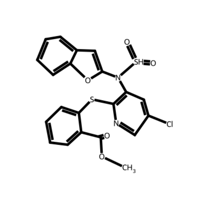 COC(=O)c1ccccc1Sc1ncc(Cl)cc1N(c1cc2ccccc2o1)[SH](=O)=O